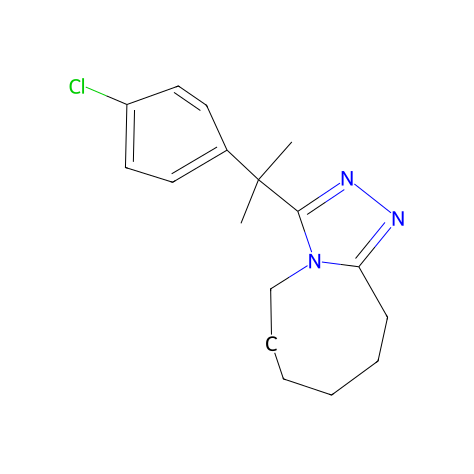 CC(C)(c1ccc(Cl)cc1)c1nnc2n1CCCCCC2